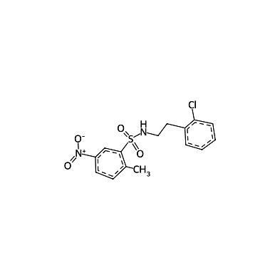 Cc1ccc([N+](=O)[O-])cc1S(=O)(=O)NCCc1ccccc1Cl